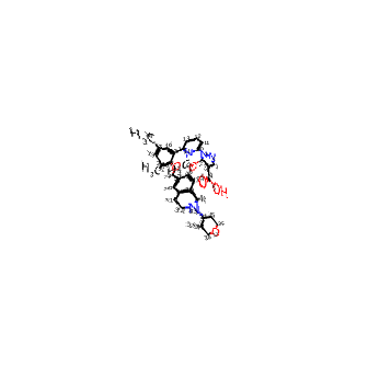 COc1c(C(=O)O)cnn1-c1cccc(-c2cc(C)cc(C)c2OCc2ccc3c(c2)CCN(C2CCOCC2)C3)n1